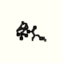 CCC(I)C(=O)OC1C2CC3C(S2)C1OS3(=O)=O